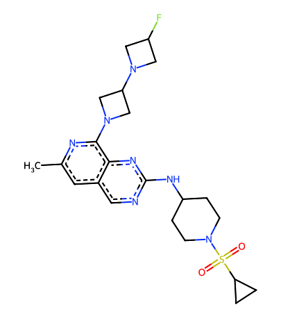 Cc1cc2cnc(NC3CCN(S(=O)(=O)C4CC4)CC3)nc2c(N2CC(N3CC(F)C3)C2)n1